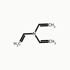 C=CN(C=C)C=C